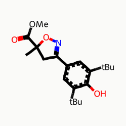 COC(=O)C1(C)CC(c2cc(C(C)(C)C)c(O)c(C(C)(C)C)c2)=NO1